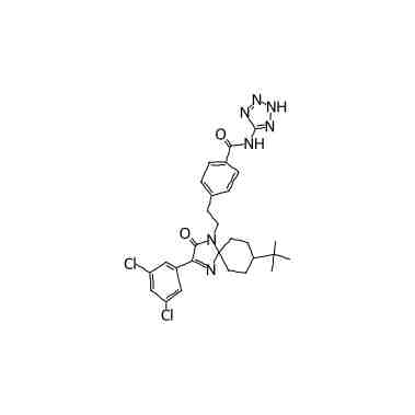 CC(C)(C)C1CCC2(CC1)N=C(c1cc(Cl)cc(Cl)c1)C(=O)N2CCc1ccc(C(=O)Nc2nn[nH]n2)cc1